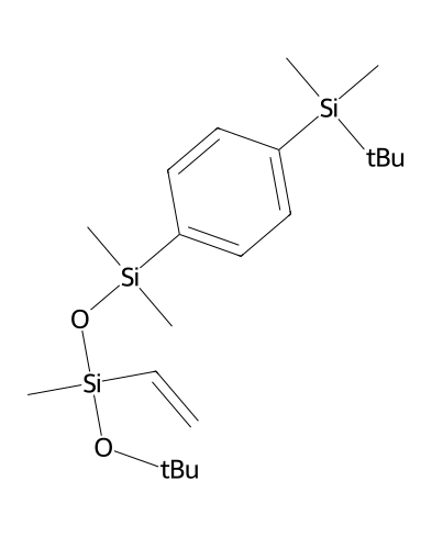 C=C[Si](C)(OC(C)(C)C)O[Si](C)(C)c1ccc([Si](C)(C)C(C)(C)C)cc1